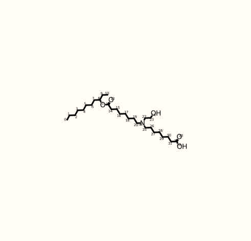 CCCCCCCCC(CC)OC(=O)CCCCCCCN(CCO)CCCCCCCC(=O)O